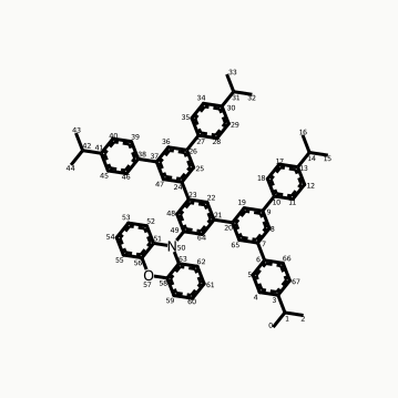 CC(C)c1ccc(-c2cc(-c3ccc(C(C)C)cc3)cc(-c3cc(-c4cc(-c5ccc(C(C)C)cc5)cc(-c5ccc(C(C)C)cc5)c4)cc(N4c5ccccc5Oc5ccccc54)c3)c2)cc1